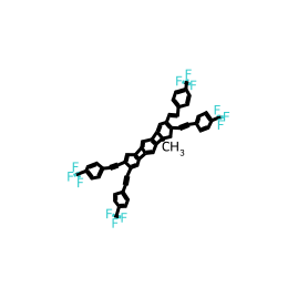 CC12CC(C#Cc3ccc(C(F)(F)F)cc3)=C(C=Cc3ccc(C(F)(F)F)cc3)C=C1c1cc3c(cc12)-c1cc(C#Cc2ccc(C(F)(F)F)cc2)c(C#Cc2ccc(C(F)(F)F)cc2)cc1-3